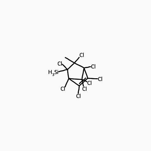 CC1(Cl)C([SiH3])(Cl)C2(Cl)C(Cl)=C(Cl)C1(Cl)C2(Cl)Cl